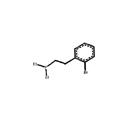 CCP(CC)CCc1ccccc1Br